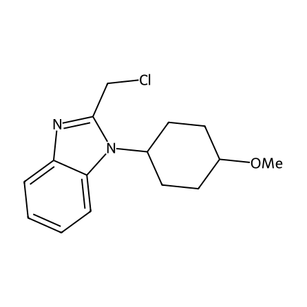 COC1CCC(n2c(CCl)nc3ccccc32)CC1